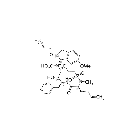 C=CCC[C@@H](C(=O)N[C@@H](Cc1ccccc1)[C@H](O)CN(C(=O)O)[C@@H]1c2cc(OC)ccc2C[C@H]1OCC=C)N(C)S(=O)(=O)CCC(F)(F)F